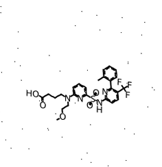 COCCN(CCCC(=O)O)c1cccc(S(=O)(=O)Nc2ccc(C(F)(F)F)c(-c3ccccc3C)n2)n1